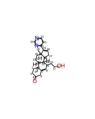 C[C@]12CCC(=O)CC1=CC(CCO)[C@@H]1[C@@H]2CC[C@]2(C)C(c3ccncn3)=CC[C@@H]12